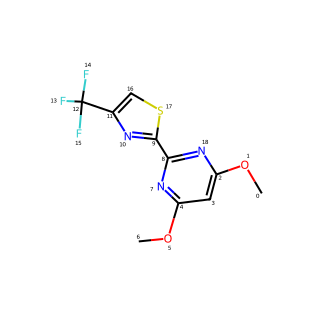 COc1cc(OC)nc(-c2nc(C(F)(F)F)cs2)n1